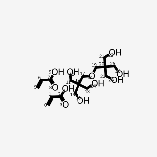 C=CC(=O)O.C=CC(=O)O.OCC(CO)(CO)COCC(CO)(CO)CO